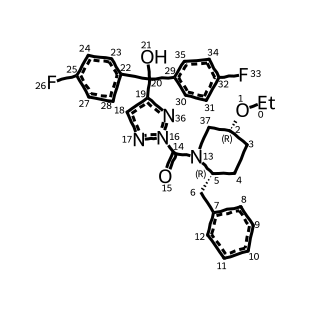 CCO[C@@H]1CC[C@H](Cc2ccccc2)N(C(=O)n2ncc(C(O)(c3ccc(F)cc3)c3ccc(F)cc3)n2)C1